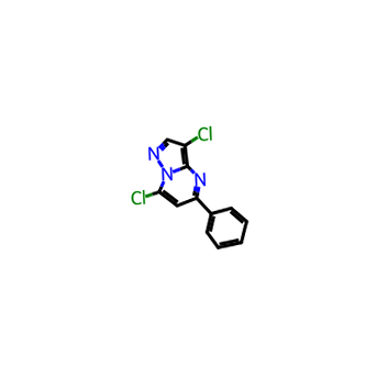 Clc1cnn2c(Cl)cc(-c3ccccc3)nc12